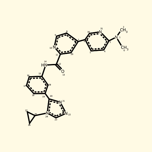 CN(C)c1ccc(-c2ccnc(C(=O)Nc3cccc(-c4nncn4C4CC4)c3)c2)cn1